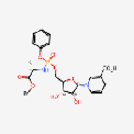 CC(C)OC(=O)[C@H](C)NP(=O)(OCC1O[C@@H](N2C=CCC(C(=O)O)=C2)[C@H](O)[C@@H]1O)Oc1ccccc1